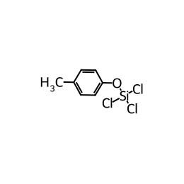 Cc1ccc(O[Si](Cl)(Cl)Cl)cc1